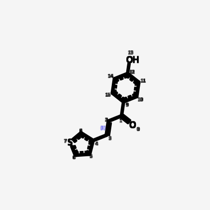 O=C(/C=C/c1ccsc1)c1ccc(O)cc1